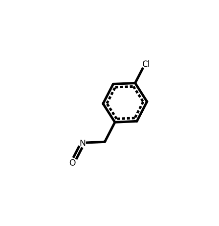 O=NCc1ccc(Cl)cc1